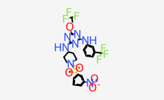 O=[N+]([O-])c1cccc(S(=O)(=O)N2CCC(Nc3nc(Nc4cccc(C(F)(F)F)c4)nc(OCC(F)(F)F)n3)CC2)c1